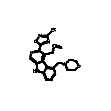 CCc1noc(-c2ncc3[nH]c4cccc(CN5CCOCC5)c4c3c2COC)n1